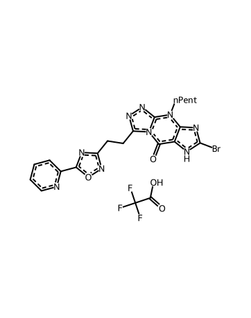 CCCCCn1c2nc(Br)[nH]c2c(=O)n2c(CCc3noc(-c4ccccn4)n3)nnc12.O=C(O)C(F)(F)F